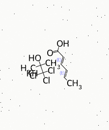 C/C=C/C=C/C(=O)O.CC(C)(O)C(Cl)(Cl)Cl.[KH]